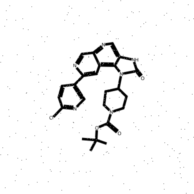 CC(C)(C)OC(=O)N1CCC(n2c(=O)[nH]c3cnc4cnc(-c5ccc(Cl)nc5)cc4c32)CC1